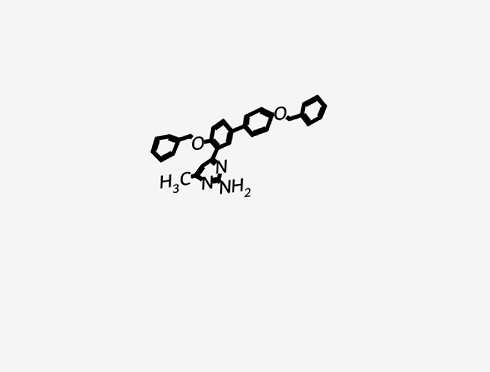 Cc1cc(-c2cc(-c3ccc(OCc4ccccc4)cc3)ccc2OCc2ccccc2)nc(N)n1